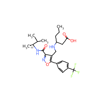 CCCC(CC(=O)O)NCc1c(C(=O)N[C@@H](C)C(C)C)noc1-c1ccc(C(F)(F)F)cc1